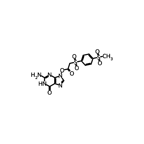 CS(=O)(=O)c1ccc(S(=O)(=O)CC(=O)On2cnc3c(=O)[nH]c(N)nc32)cc1